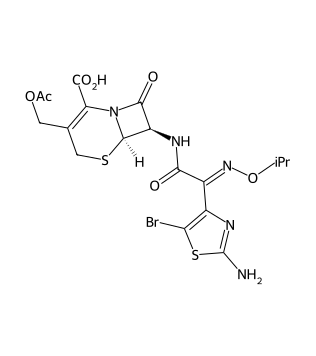 CC(=O)OCC1=C(C(=O)O)N2C(=O)[C@@H](NC(=O)C(=NOC(C)C)c3nc(N)sc3Br)[C@H]2SC1